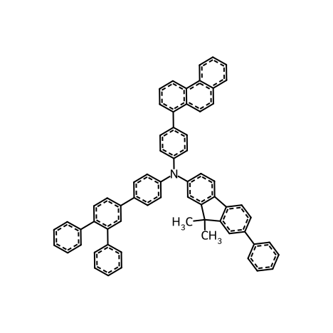 CC1(C)c2cc(-c3ccccc3)ccc2-c2ccc(N(c3ccc(-c4ccc(-c5ccccc5)c(-c5ccccc5)c4)cc3)c3ccc(-c4cccc5c4ccc4ccccc45)cc3)cc21